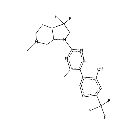 Cc1nc(N2CC(F)(F)C3CCN(C)CC32)nnc1-c1ccc(C(F)(F)F)cc1O